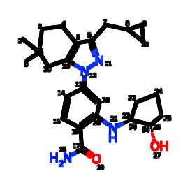 CC1(C)CCc2c(CC3CC3)nn(-c3ccc(C(N)=O)c(N[C@H]4CCC[C@@H]4O)c3)c2C1